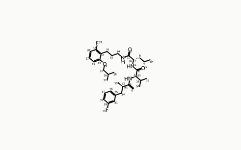 C=C(N[C@@H](C(=O)N[C@@H](CCC)C(=O)NCCCc1c(F)cccc1OCC(C)C)C(C)C)[C@H](C)Cc1cccc(F)c1